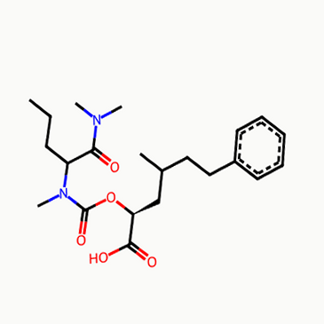 CCCC(C(=O)N(C)C)N(C)C(=O)O[C@@H](CC(C)CCc1ccccc1)C(=O)O